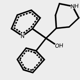 OC(c1ccccc1)(c1ccccn1)C1CCNCC1